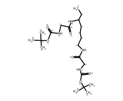 CCC(CCCCNC(=O)CNC(=O)OC(C)(C)C)NC(=O)CNC(=O)OC(C)(C)C